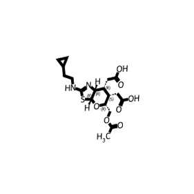 CC(=O)OC[C@@H]1O[C@@H]2SC(NCCC3CC3)=N[C@@H]2[C@H](CC(=O)O)[C@@H]1CC(=O)O